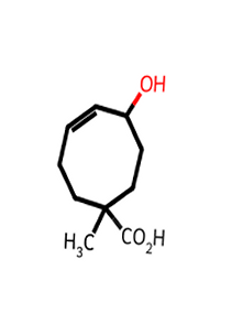 CC1(C(=O)O)CCC=CC(O)CC1